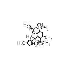 C=CCOc1c(C(C)(C)C)cc(C)c([SiH](C)C)c1C(C)(C)C1=CCC(C)=C1